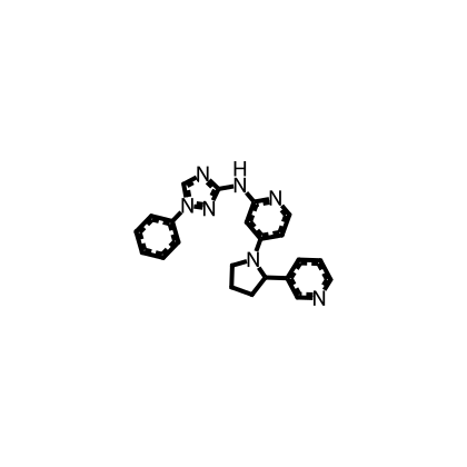 c1ccc(-n2cnc(Nc3cc(N4CCCC4c4cccnc4)ccn3)n2)cc1